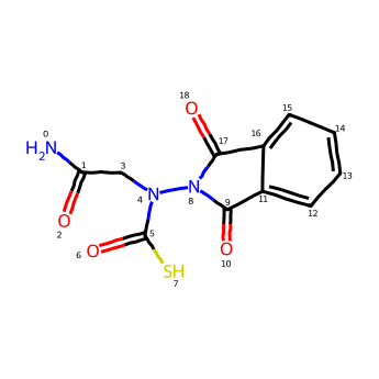 NC(=O)CN(C(=O)S)N1C(=O)c2ccccc2C1=O